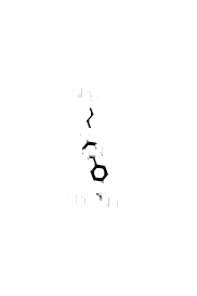 CCCOCCCCOc1cnc(-c2ccc(OC(CCC)OCCC)cc2)nc1